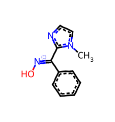 Cn1ccnc1/C(=N/O)c1ccccc1